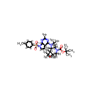 [2H]c1nc(N(C([2H])([2H])[2H])C2([2H])C([2H])([2H])N(C(=O)OC(C)(C)C)C([2H])([2H])C([2H])([2H])C2([2H])C([2H])([2H])[2H])c2ccn(S(=O)(=O)c3ccc(C)cc3)c2n1